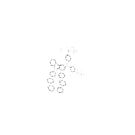 CC(C)(C)c1ccc(N(c2ccc(C(C)(C)C)cc2)c2ccc3c(c2)c2ccccc2n3-c2cccc([Si]3(c4ccccc4)c4ccccc4[Si](c4ccccc4)(c4ccccc4)c4ccccc43)c2)cc1